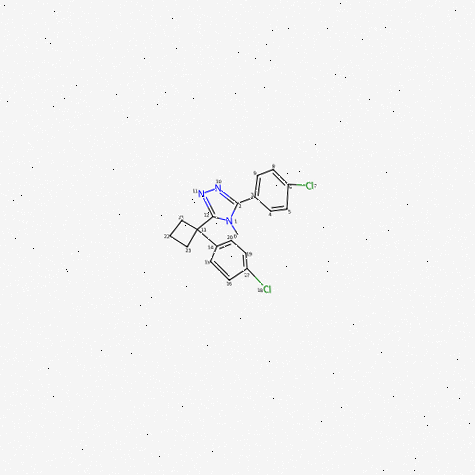 Cn1c(-c2ccc(Cl)cc2)nnc1C1(c2ccc(Cl)cc2)CCC1